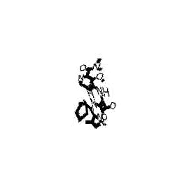 COc1c(Nc2c(N[C@@H](c3nn(C)cc3C)C3(C)CCCC3)c(=O)c2=O)ccnc1C(=O)N(C)C